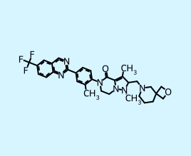 CC1=C2C(=O)N(c3ccc(-c4ncc5cc(C(F)(F)F)ccc5n4)cc3C)CCN2N(C)C1CN1CCCC2(COC2)C1